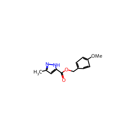 COc1ccc(COC(=O)c2cc(C)n[nH]2)cc1